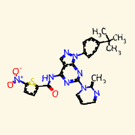 C=C1N=CC=CN1c1nc(NC(=O)c2ccc([N+](=O)[O-])s2)c2cnn(-c3ccc(C(C)(C)C)cc3)c2n1